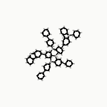 c1ccc(-c2ccc(N3c4ccc(-c5ccccc5)cc4B4c5ccc(-c6ccc7c(c6)c6ccccc6n7-c6ccccc6)cc5N(c5ccc(-c6ccccc6)cc5)c5cc(-c6ccc7oc8ccccc8c7c6)cc3c54)cc2)cc1